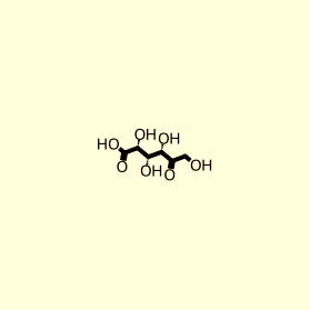 O=C(CO)[C@@H](O)[C@H](O)[C@@H](O)C(=O)O